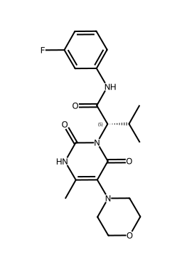 Cc1[nH]c(=O)n([C@H](C(=O)Nc2cccc(F)c2)C(C)C)c(=O)c1N1CCOCC1